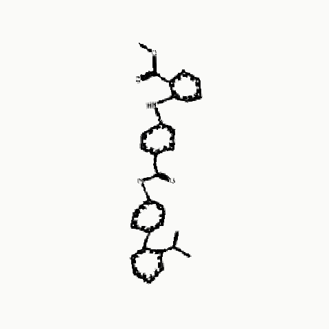 COC(=O)c1ccccc1Nc1ccc(C(=O)Nc2ccc(-c3ccccc3C(C)C)cc2)cc1